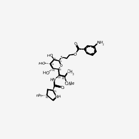 CCC[C@H]1CN[C@H](C(=O)N[C@@H]([C@H]2O[C@H](SCCOC(=O)c3cccc(N)c3)[C@H](O)[C@@H](O)[C@H]2O)[C@@H](C)OC)C1